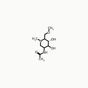 COCC1[C@H](O)C(O)C(NC(C)=O)CN1C